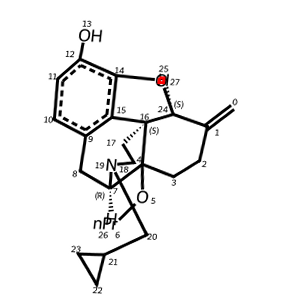 C=C1CCC2(OCCC)[C@H]3Cc4ccc(O)c5c4[C@@]2(CCN3CC2CC2)[C@H]1O5